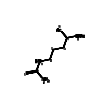 C=C(N)NCCCC(NC)C(C)=O